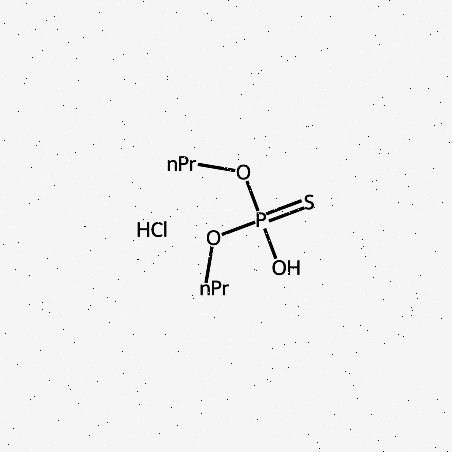 CCCOP(O)(=S)OCCC.Cl